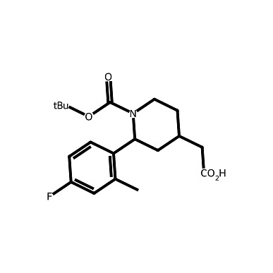 Cc1cc(F)ccc1C1CC(CC(=O)O)CCN1C(=O)OC(C)(C)C